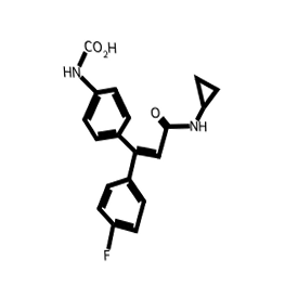 O=C(O)Nc1ccc(/C(=C\C(=O)NC2CC2)c2ccc(F)cc2)cc1